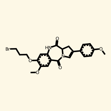 COc1ccc(C2=CN3C(=O)c4cc(OC)c(OCCCBr)cc4NC(=O)C3C2)cc1